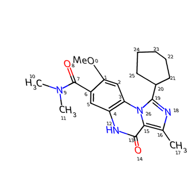 COc1cc2c(cc1C(=O)N(C)C)[nH]c(=O)c1c(C)nc(C3CCCCC3)n12